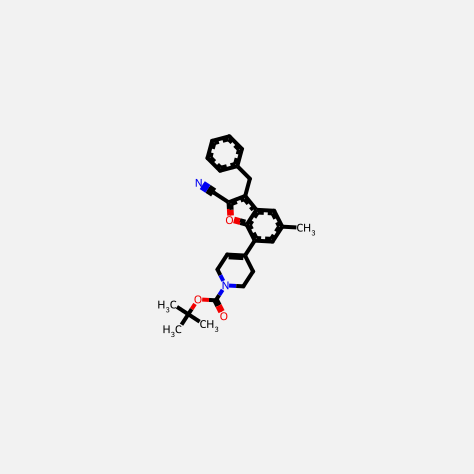 Cc1cc(C2=CCN(C(=O)OC(C)(C)C)CC2)c2oc(C#N)c(Cc3ccccc3)c2c1